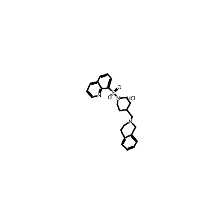 Cl.O=S(=O)(c1cccc2cccnc12)N1CCC(CN2CCc3ccccc3C2)CC1